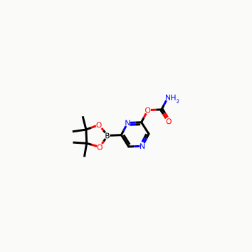 CC1(C)OB(c2cncc(OC(N)=O)n2)OC1(C)C